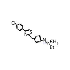 CCN(C)/C=N/c1ccc(Cc2nc(-c3ccc(Cl)cc3)cs2)cc1